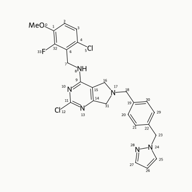 COc1ccc(Cl)c(CNc2nc(Cl)nc3c2CN(Cc2ccc(Cn4cccn4)cc2)C3)c1F